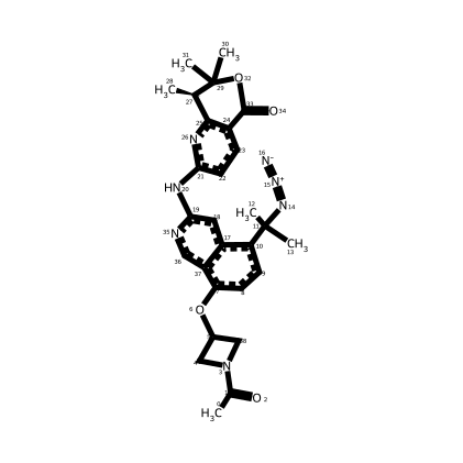 CC(=O)N1CC(Oc2ccc(C(C)(C)N=[N+]=[N-])c3cc(Nc4ccc5c(n4)[C@@H](C)C(C)(C)OC5=O)ncc23)C1